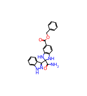 NC(=O)C1(c2n[nH]c3ccccc23)Nc2ccc(C(=O)OCc3ccccc3)cc2N1